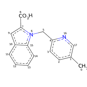 Cc1ccc(Cn2c(C(=O)O)cc3ccccc32)nc1